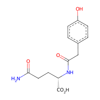 NC(=O)CC[C@H](NC(=O)Cc1ccc(O)cc1)C(=O)O